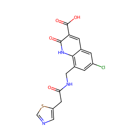 O=C(Cc1cncs1)NCc1cc(Cl)cc2cc(C(=O)O)c(=O)[nH]c12